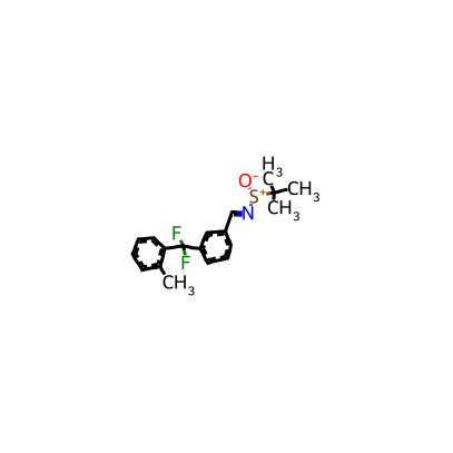 Cc1ccccc1C(F)(F)c1cccc(C=N[S+]([O-])C(C)(C)C)c1